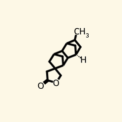 CC1C[C@@H]2CC1C1C3CC(C12)C1(COC(=O)C1)C3